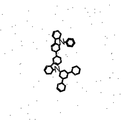 C1=CCC(C2CC(C3CCCCC3)CC(N3C4=C(CC(C5CC=C6C7C=CCCC7N(c7ccccc7)C6C5)CC4)C4C=CCCC43)C2)CC1